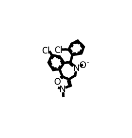 CN(C)C=C1C[N+]([O-])=C(c2ccccc2Cl)c2cc(Cl)ccc2C1=O